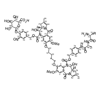 COc1cc2c(cc1OCCCCCOc1cc3c(cc1OC)C(=O)N1C=C(C)C[C@H]1[C@H](O)N3C(=O)OCc1ccc(O[C@@H]3O[C@H](C(=O)O)[C@@H](O)[C@H](O)[C@H]3O)c(N=O)c1)N(C(=O)OCc1ccc(NC(=O)[C@H](C)NC(=O)[C@@H](N)C(C)C)cc1)[C@@H](O)[C@@H]1CC(C)=CN1C2=O